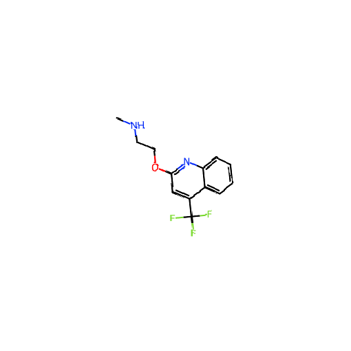 CNCCOc1cc(C(F)(F)F)c2ccccc2n1